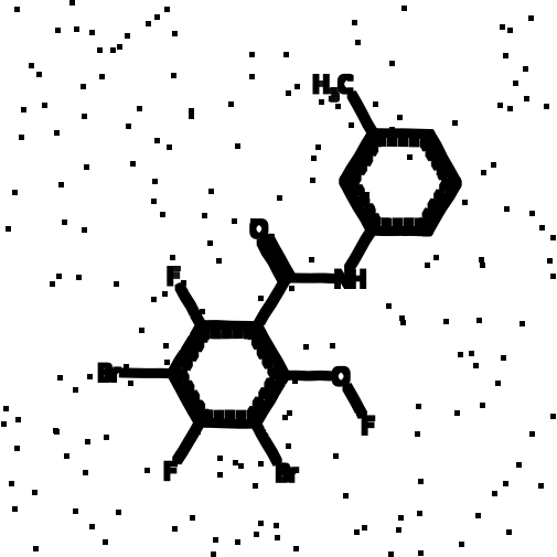 Cc1cccc(NC(=O)c2c(F)c(Br)c(F)c(Br)c2OF)c1